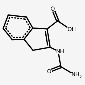 NC(=O)NC1=C(C(=O)O)c2ccccc2C1